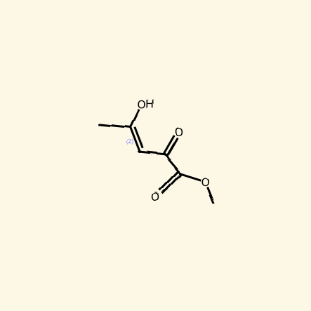 COC(=O)C(=O)/C=C(/C)O